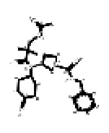 CC(=O)OCC(C)(C)C(=O)N(C1CCC(=O)CC1)[C@H]1CCN(C(=O)OCc2ccccc2)C1